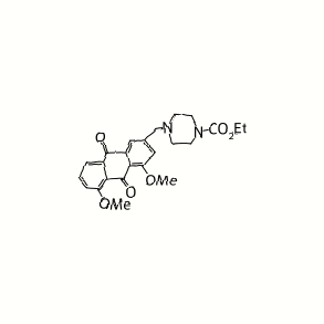 CCOC(=O)N1CCN(Cc2cc(OC)c3c(c2)C(=O)c2cccc(OC)c2C3=O)CC1